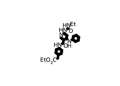 CCNC(=O)Nc1cc(Nc2ccccc2)c(C(=O)Nc2ccc(CC(=O)OCC)cc2)cn1